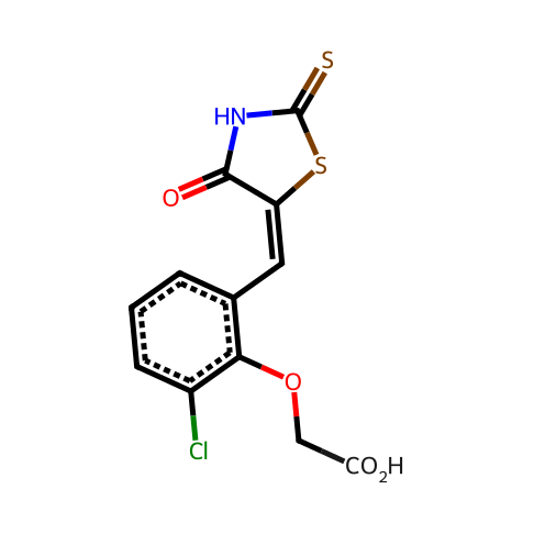 O=C(O)COc1c(Cl)cccc1/C=C1/SC(=S)NC1=O